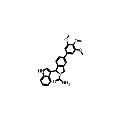 COc1cc(-c2ccc3c(c2)CN(C(N)=O)C3c2c[nH]c3ccccc23)cc(OC)c1OC